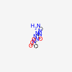 Cn1c(N2CCCC(N)C2)nc2c1c(=O)n(Cc1noc(=O)c3ccccc13)c(=O)n2C